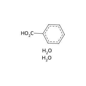 O.O.O=C(O)c1ccccc1